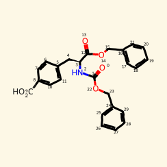 O=C(N[C@@H](Cc1ccc(C(=O)O)cc1)C(=O)OCc1ccccc1)OCc1ccccc1